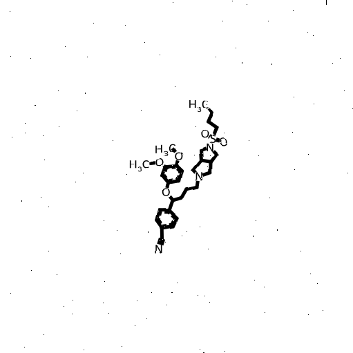 CCCCS(=O)(=O)N1CC2CN(CCCC(Oc3ccc(OC)c(OC)c3)c3ccc(C#N)cc3)CC2C1